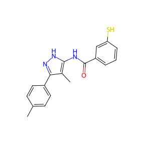 Cc1ccc(-c2n[nH]c(NC(=O)c3cccc(S)c3)c2C)cc1